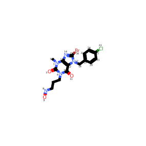 Cn1c(=O)n(CCCN=O)c(=O)c2c1nc(Br)n2Cc1ccc(Cl)cc1